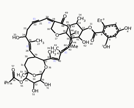 CCc1cc(O)cc(O)c1C(=O)OC1C(C)OC(OC/C2=C\C=C\CC(O)/C(C)=C/C3CCC4(C)OC(OC3/C(C)=C/C(C)=C/CC(CC)OC2=O)C(O)C(O)C4OC(=O)C(C)C)C(OC)C1O